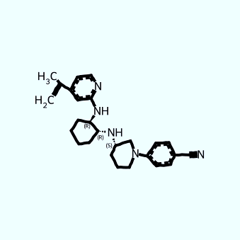 C=C(C)c1ccnc(N[C@@H]2CCCC[C@H]2N[C@H]2CCCN(c3ccc(C#N)cc3)C2)c1